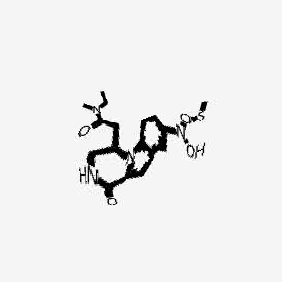 CCN(C)C(=O)CC1CNC(=O)c2cc3cc(N(O)OSC)ccc3n21